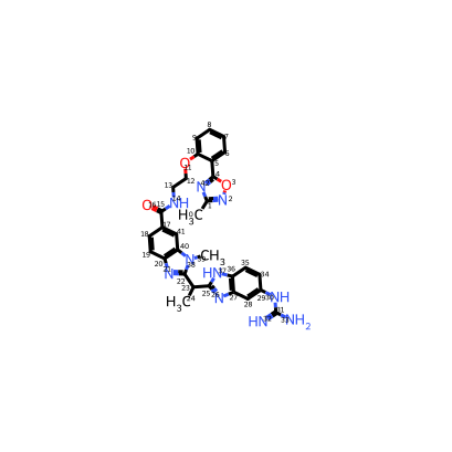 Cc1noc(-c2ccccc2OCCNC(=O)c2ccc3nc(C(C)c4nc5cc(NC(=N)N)ccc5[nH]4)n(C)c3c2)n1